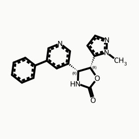 Cn1nccc1[C@@H]1OC(=O)N[C@@H]1c1cncc(-c2ccccc2)c1